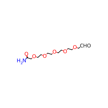 NC(=O)COCCOCCOCCOCCOCC=O